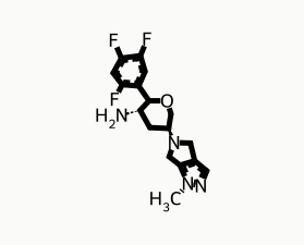 Cn1ncc2c1CN([C@@H]1COC(c3cc(F)c(F)cc3F)[C@@H](N)C1)C2